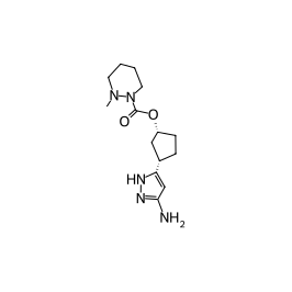 CN1CCCCN1C(=O)O[C@@H]1CC[C@H](c2cc(N)n[nH]2)C1